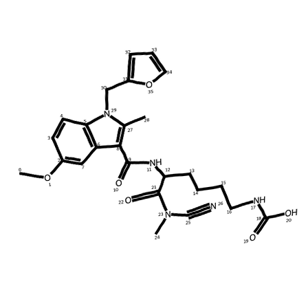 COc1ccc2c(c1)c(C(=O)NC(CCCCNC(=O)O)C(=O)N(C)C#N)c(C)n2Cc1ccco1